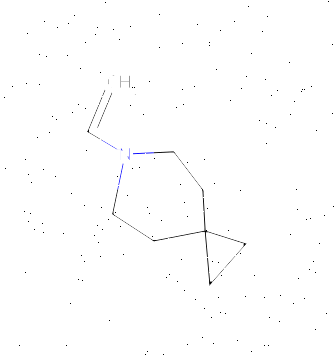 C=CN1CCC2(CC1)CC2